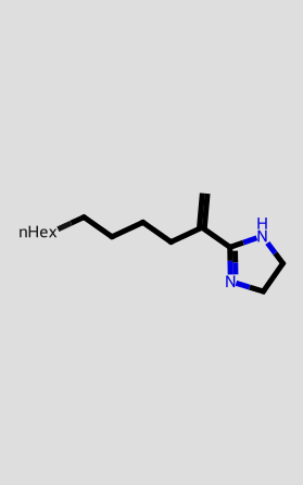 C=C(CCCCCCCCCC)C1=NCCN1